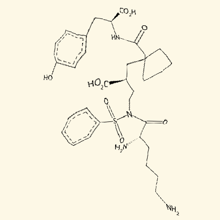 NCCCC[C@H](N)C(=O)N(C[C@H](CC1(C(=O)N[C@@H](Cc2ccc(O)cc2)C(=O)O)CCCC1)C(=O)O)S(=O)(=O)c1ccccc1